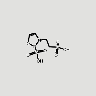 O=S(=O)(O)CCN1C=CON1S(=O)(=O)O